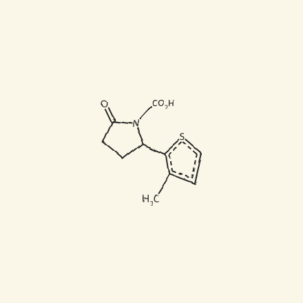 Cc1ccsc1C1CCC(=O)N1C(=O)O